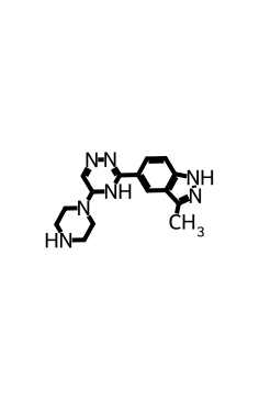 Cc1n[nH]c2ccc(C3=NN=CC(N4CCNCC4)N3)cc12